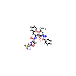 COCC[C@@H](NC(=O)c1ccccc1)[C@@H](O)[C@H](O)[C@H](Cc1ccccc1)NC(=O)c1coc(NS(C)(=O)=O)n1